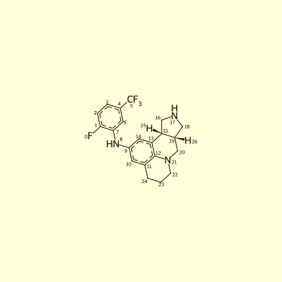 Fc1ccc(C(F)(F)F)cc1Nc1cc2c3c(c1)[C@@H]1CNC[C@@H]1CN3CCC2